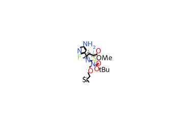 COC(=O)[C@@]1(C)SC(N(COCC[Si](C)(C)C)C(=O)OC(C)(C)C)=N[C@](C)(c2cc(N)cnc2F)[C@@H]1C